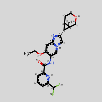 CCOc1cc2nc([C@H]3[C@@H]4COCC[C@@H]43)cn2cc1NC(=O)c1cccc(C(F)F)n1